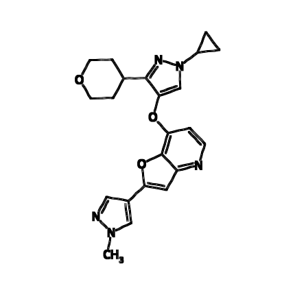 Cn1cc(-c2cc3nccc(Oc4cn(C5CC5)nc4C4CCOCC4)c3o2)cn1